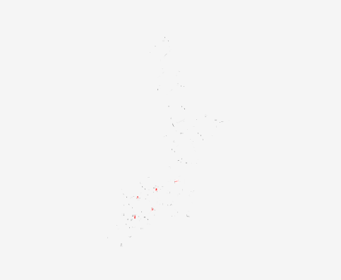 Cc1ncsc1-c1ccc(CNC(=O)[C@@H]2C[C@@H](O)CN2C(=O)[C@@H](NC(=O)C2CCC(c3cnc(N4C5CCC4CN(c4cc(-c6ccccc6O)nnc4N)C5)nc3)CC2)C(C)(C)C)cc1